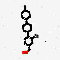 CCC1CC(CO)CCC1C1CCC(C2CCC(C)CC2)CC1